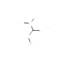 CC(C)OC(Br)[SiH](C)C.[MgH2]